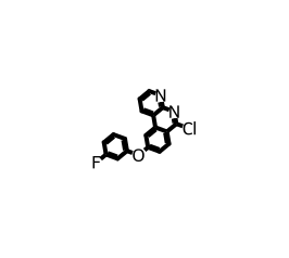 Fc1cccc(Oc2ccc3c(Cl)nc4ncccc4c3c2)c1